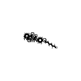 CCCCCCCOc1ccc(NC(=S)NC(=O)c2cccnc2O)cc1